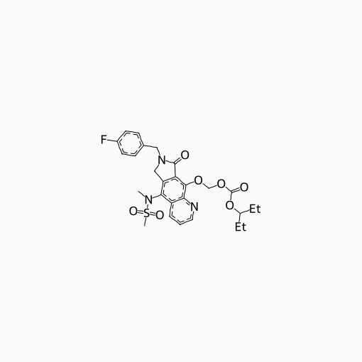 CCC(CC)OC(=O)OCOc1c2c(c(N(C)S(C)(=O)=O)c3cccnc13)CN(Cc1ccc(F)cc1)C2=O